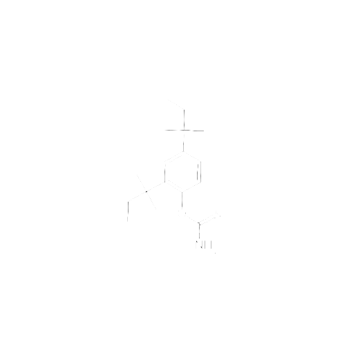 CCC(C)(C)c1ccc(OC(N)=S)c(C(C)(C)CC)c1